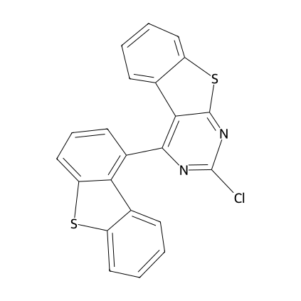 Clc1nc(-c2cccc3sc4ccccc4c23)c2c(n1)sc1ccccc12